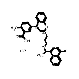 Cc1ccc([C@@H]2C[C@H](CCCNC(C)c3ccc(F)c4ccccc34)Oc3ccccc32)cc1C(=O)O.Cl